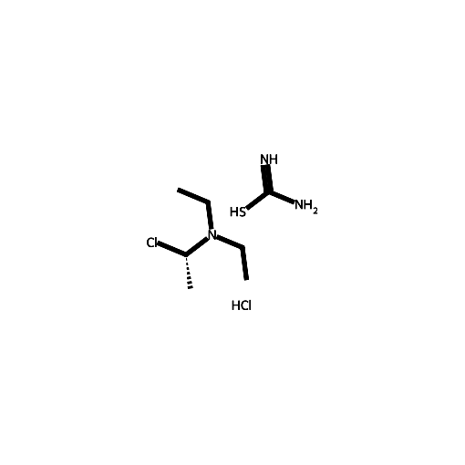 CCN(CC)[C@H](C)Cl.Cl.N=C(N)S